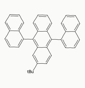 CC(C)(C)c1ccc2c(-c3cccc4ccccc34)c3ccccc3c(-c3cccc4ccccc34)c2c1